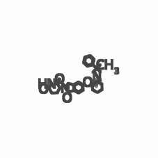 CC1(c2ccccc2)CN([C@H]2CCCC[C@@H]2Oc2ccc3c(c2)CN(C2CCC(=O)NC2=O)C3=O)C1